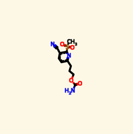 CS(=O)(=O)c1nc(CCCOC(N)=O)ccc1C#N